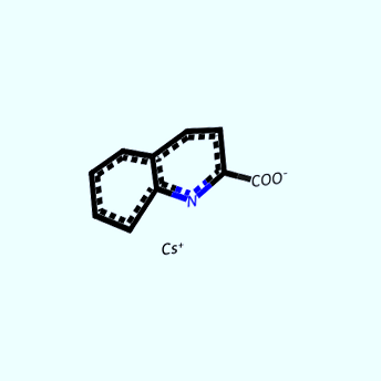 O=C([O-])c1ccc2ccccc2n1.[Cs+]